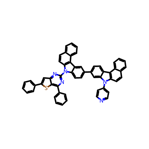 c1ccc(-c2cc3nc(-n4c5ccc(-c6ccc7c8c9ccccc9ccc8n(-c8ccncc8)c7c6)cc5c5c6ccccc6ccc54)nc(-c4ccccc4)c3s2)cc1